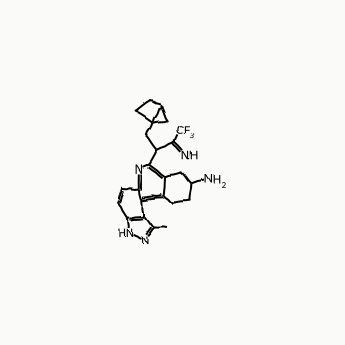 Cc1n[nH]c2ccc3nc(C(CC45CCC4C5)C(=N)C(F)(F)F)c4c(c3c12)CCC(N)C4